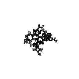 CS(=O)(=O)OC[C@@H]1CCc2nc(-c3ccc(F)cc3)c(-c3ccnc(NC4CCC4)n3)n21